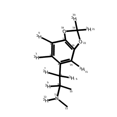 [2H]c1c([2H])c(C([2H])([2H])C([2H])(C)N([2H])C)c([2H])c2c1OC([2H])([2H])O2